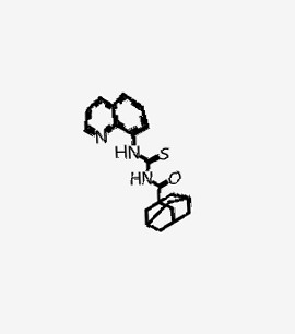 O=C(NC(=S)Nc1cccc2cccnc12)C12CC3CC(CC(C3)C1)C2